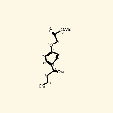 COC(=O)COc1ccc(C(=O)CCCl)cc1